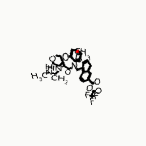 CN[C@@H](C)CN[C@@H]1C(=O)N(Cc2c(OC)ccc3cc(C(=O)OC(=O)C(F)(F)F)ccc23)c2ccccc2OC12CCOCC2